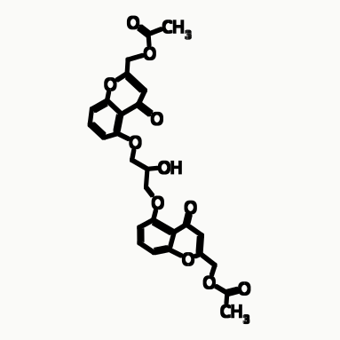 CC(=O)OCc1cc(=O)c2c(OCC(O)COc3cccc4oc(COC(C)=O)cc(=O)c34)cccc2o1